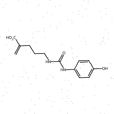 C=C(CCCNC(=O)Nc1ccc(O)cc1)C(=O)O